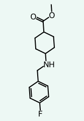 COC(=O)C1CCC(NCc2ccc(F)cc2)CC1